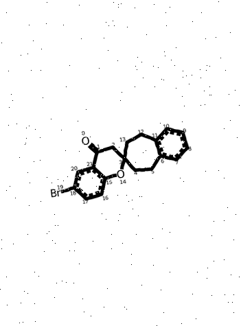 O=C1CC2(CCc3ccccc3CC2)Oc2ccc(Br)cc21